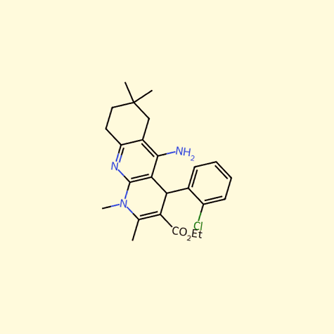 CCOC(=O)C1=C(C)N(C)c2nc3c(c(N)c2C1c1ccccc1Cl)CC(C)(C)CC3